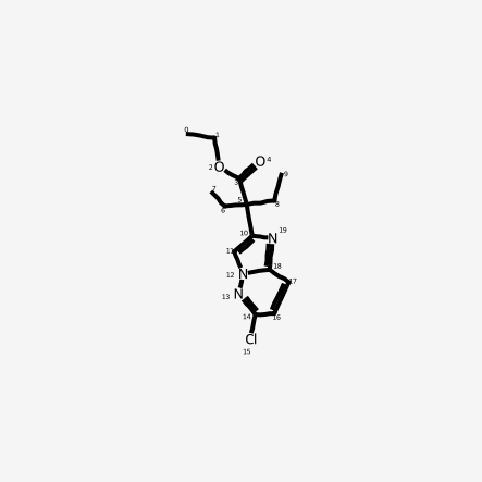 CCOC(=O)C(CC)(CC)c1cn2nc(Cl)ccc2n1